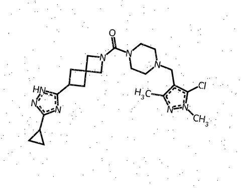 Cc1nn(C)c(Cl)c1CN1CCN(C(=O)N2CC3(CC(c4nc(C5CC5)n[nH]4)C3)C2)CC1